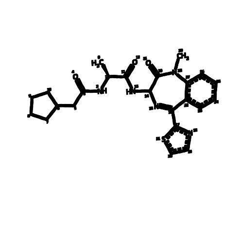 C[C@H](NC(=O)CC1CCCC1)C(=O)NC1N=C(c2nccs2)c2ccccc2N(C)C1=O